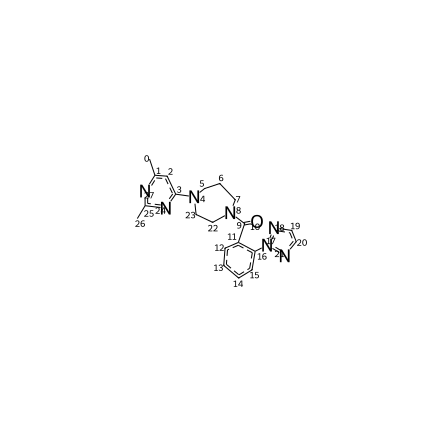 Cc1cc(N2CCCN(C(=O)c3ccccc3-n3nccn3)CC2)nc(C)n1